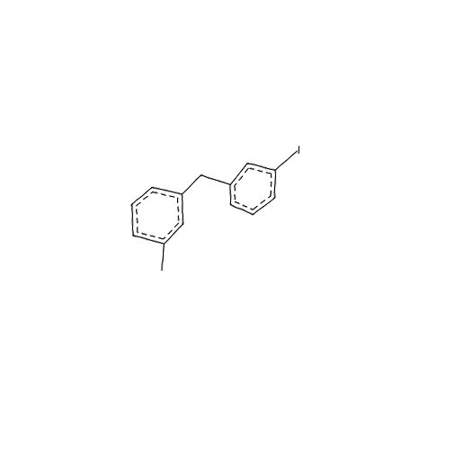 Cc1cccc(Cc2cccc(I)c2)c1